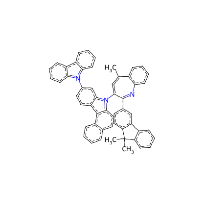 CC1=C=C(n2c3cc(-n4c5ccccc5c5ccccc54)ccc3c3c4ccccc4ccc32)C(c2ccc3c(c2)-c2ccccc2C3(C)C)=Nc2ccccc21